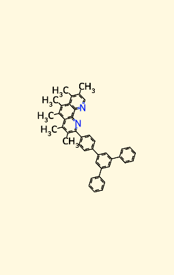 Cc1cnc2c(c1C)c(C)c(C)c1c(C)c(C)c(-c3ccc(-c4cc(-c5ccccc5)cc(-c5ccccc5)c4)cc3)nc12